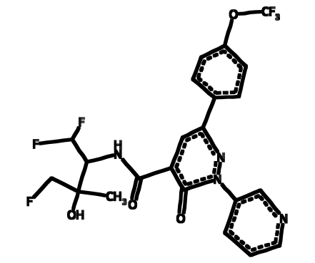 CC(O)(CF)C(NC(=O)c1cc(-c2ccc(OC(F)(F)F)cc2)nn(-c2cccnc2)c1=O)C(F)F